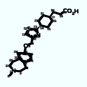 CN1CCc2ccc(OCc3csc([C@H]4CC[C@H](CCC(=O)O)CC4)n3)cc2CC1